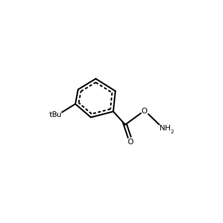 CC(C)(C)c1cccc(C(=O)ON)c1